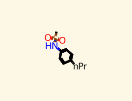 [CH2]CCc1ccc(NS(C)(=O)=O)cc1